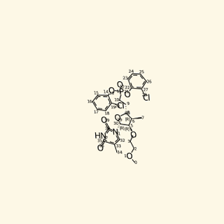 COCCO[C@@H]1[C@H](C)[C@@H](CCP(=O)(Oc2ccccc2Cl)Oc2ccccc2Cl)O[C@H]1n1cc(C)c(=O)[nH]c1=O